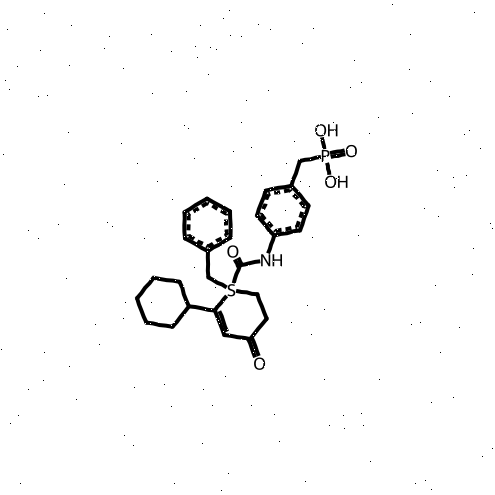 O=C1C=C(C2CCCCC2)S(Cc2ccccc2)(C(=O)Nc2ccc(CP(=O)(O)O)cc2)CC1